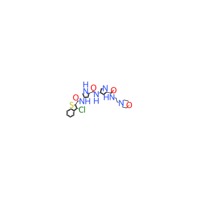 Cn1cc(NC(=O)c2cc(NC(=O)c3sc4ccccc4c3Cl)c[nH]2)cc1C(=O)NCCN1CCOCC1